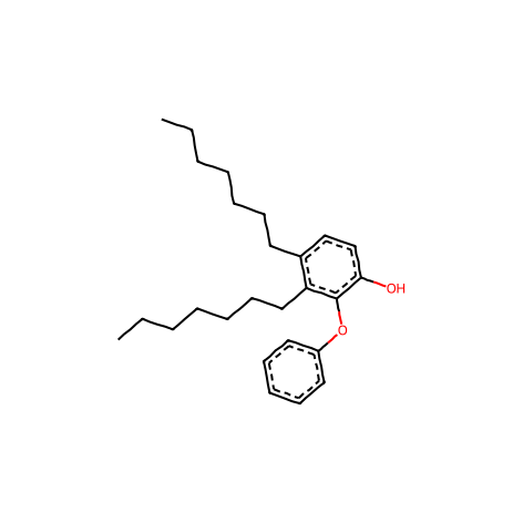 CCCCCCCc1ccc(O)c(Oc2ccccc2)c1CCCCCCC